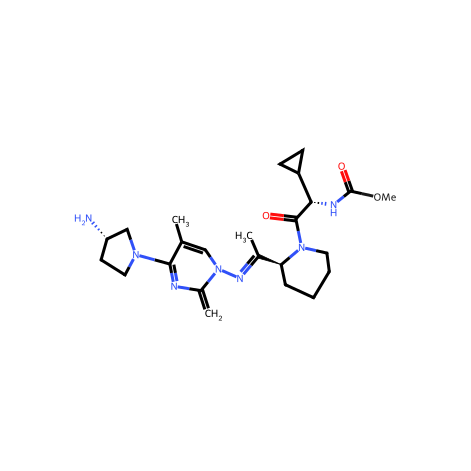 C=C1N=C(N2CC[C@H](N)C2)C(C)=CN1/N=C(\C)[C@@H]1CCCCN1C(=O)[C@@H](NC(=O)OC)C1CC1